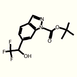 CC(C)(C)OC(=O)n1ncc2ccc(C(O)C(F)(F)F)cc21